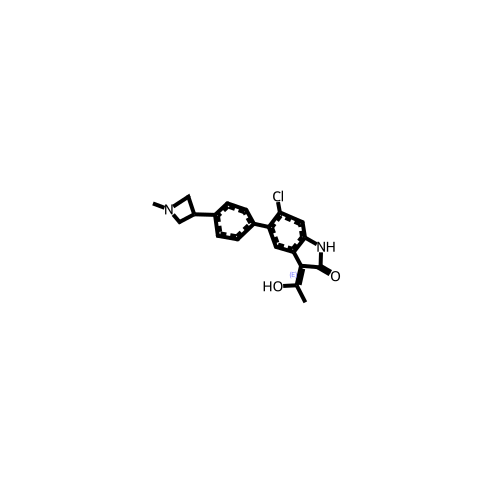 C/C(O)=C1\C(=O)Nc2cc(Cl)c(-c3ccc(C4CN(C)C4)cc3)cc21